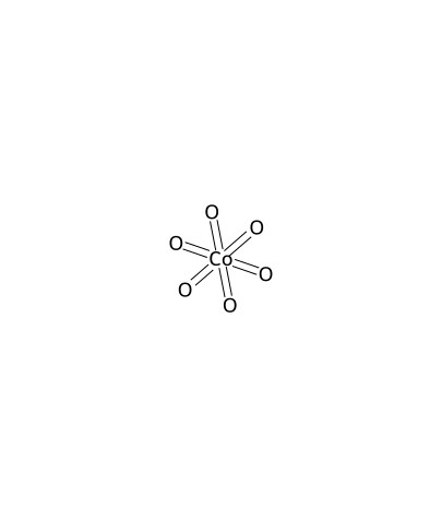 [O]=[Co](=[O])(=[O])(=[O])(=[O])=[O]